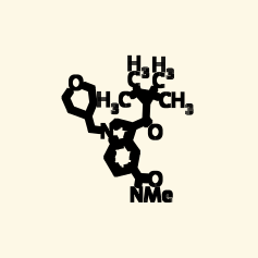 CNC(=O)c1ccc2c(c1)c(C(=O)C1C(C)(C)C1(C)C)cn2CC1CCOCC1